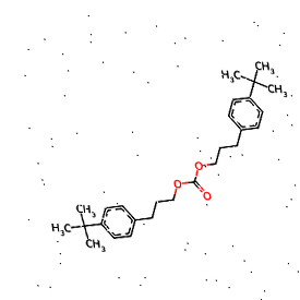 CC(C)(C)c1ccc(CCCOC(=O)OCCCc2ccc(C(C)(C)C)cc2)cc1